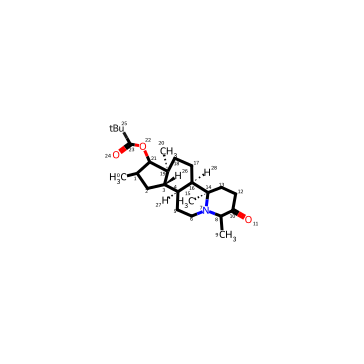 CC1C[C@H]2[C@@H]3CCN4C(C)C(=O)CC[C@]4(C)[C@@H]3CC[C@]2(C)C1OC(=O)C(C)(C)C